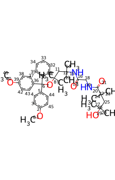 COc1ccc(C(OC(C)(C)CC(C)(C)NC(=O)CNC(=O)C(C)(C)CC(C)(C)O)(c2ccccc2)c2ccc(OC)cc2)cc1